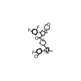 Cc1cc(C2CCN(C(=O)[C@@H]3CC(C)(N4CCOCC4)C[C@H]3c3ccc(F)cc3F)CC2)n(-c2ccc(F)c(Cl)c2)n1